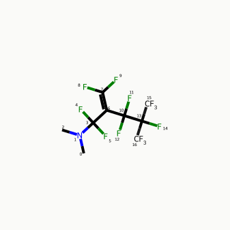 CN(C)C(F)(F)C(=C(F)F)C(F)(F)C(F)(C(F)(F)F)C(F)(F)F